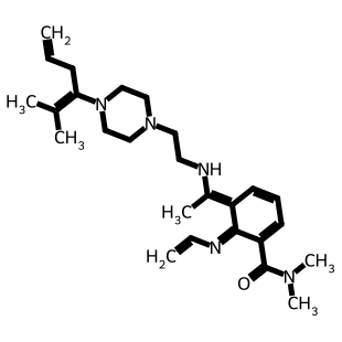 C=CCC(=C(C)C)N1CCN(CCN/C(C)=C2\C=CC=C(C(=O)N(C)C)\C2=N\C=C)CC1